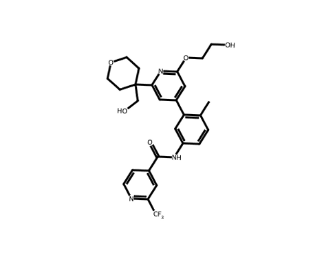 Cc1ccc(NC(=O)c2ccnc(C(F)(F)F)c2)cc1-c1cc(OCCO)nc(C2(CO)CCOCC2)c1